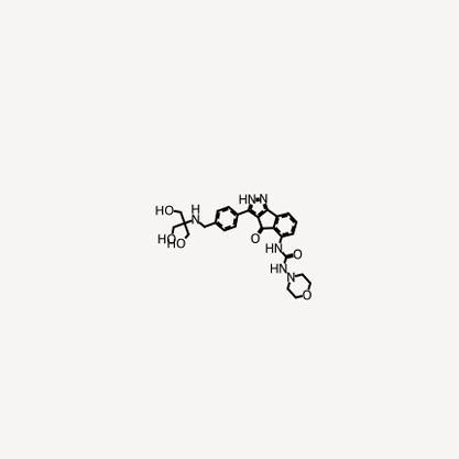 O=C(Nc1cccc2c1C(=O)c1c-2n[nH]c1-c1ccc(CNC(CO)(CO)CO)cc1)NN1CCOCC1